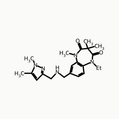 CCN1C(=O)C(C)(C)C(=O)N(C)c2cc(CNCc3cc(C)n(C)n3)ccc21